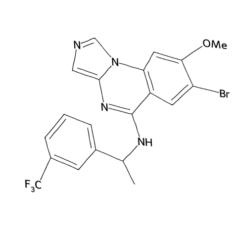 COc1cc2c(cc1Br)c(NC(C)c1cccc(C(F)(F)F)c1)nc1cncn12